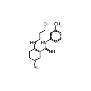 CC(=O)N1CCC(NCCCO)=C(C(=N)Nc2cccc(C)c2)C1